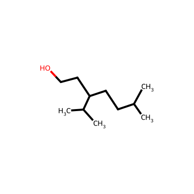 CC(C)CCC(CCO)C(C)C